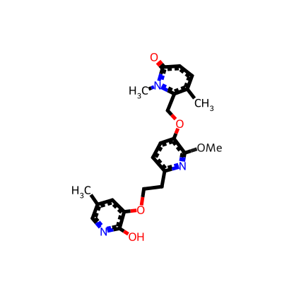 COc1nc(CCOc2cc(C)cnc2O)ccc1OCc1c(C)ccc(=O)n1C